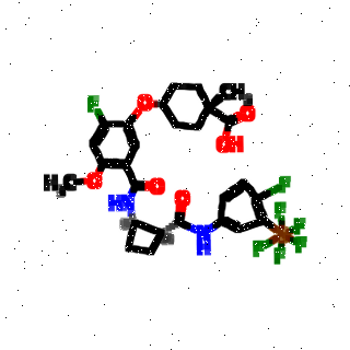 COc1cc(F)c(O[C@H]2CC[C@@](C)(C(=O)O)CC2)cc1C(=O)N[C@H]1CC[C@H]1C(=O)Nc1ccc(F)c(S(F)(F)(F)(F)F)c1